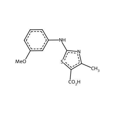 COc1cccc(Nc2nc(C)c(C(=O)O)s2)c1